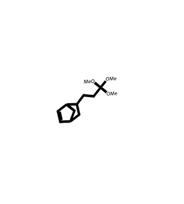 COC(CCC1CC2C=CC1C2)(OC)OC